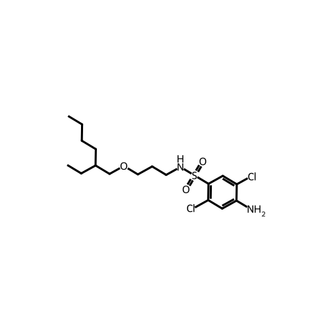 CCCCC(CC)COCCCNS(=O)(=O)c1cc(Cl)c(N)cc1Cl